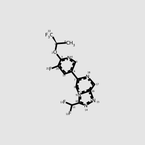 C[C@@H](Oc1ncc(-c2cn3c(C(F)F)nnc3cn2)cc1F)C(F)(F)F